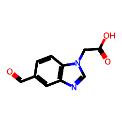 O=Cc1ccc2c(c1)ncn2CC(=O)O